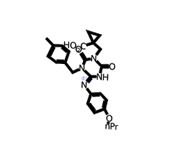 CCCOc1ccc(/N=c2\[nH]c(=O)n(CC3(C(=O)O)CC3)c(=O)n2Cc2ccc(C)cc2)cc1